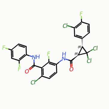 O=C(Nc1ccc(F)cc1F)c1c(Cl)ccc(NC(=O)[C@H]2[C@H](c3ccc(F)c(Cl)c3)C2(Cl)Cl)c1F